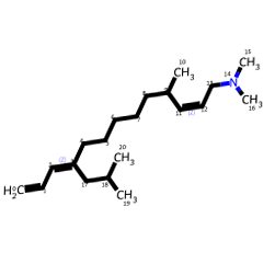 C=C/C=C(/CCCCCC(C)/C=C\CN(C)C)CC(C)C